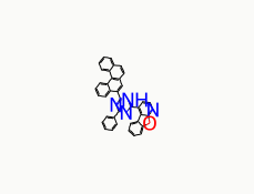 c1ccc(C2=NC(c3ccnc4oc5ccccc5c34)NC(c3cc4ccc5ccccc5c4c4ccccc34)=N2)cc1